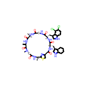 C=C1NC(=O)[C@@H](C)NC(=O)CNC(=O)[C@H](Cc2c[nH]c3ccc(Cl)c(Cl)c23)NC(=O)[C@H](Cc2c[nH]c3ccccc23)NC(=O)c2csc(n2)[C@@H](C)NC(=O)CN(C)C1=O